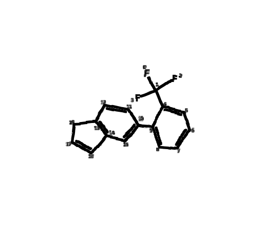 FC(F)(F)c1ccccc1-c1ccc2c(c1)C=CC2